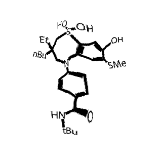 CCCCC1(CC)CN(c2ccc(C(=O)NC(C)(C)C)cc2)c2cc(SC)c(O)cc2S(O)(O)C1